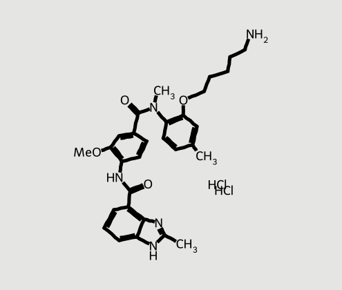 COc1cc(C(=O)N(C)c2ccc(C)cc2OCCCCCN)ccc1NC(=O)c1cccc2[nH]c(C)nc12.Cl.Cl